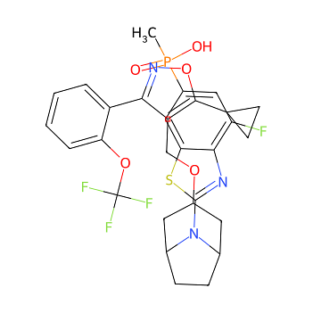 CP(=O)(O)c1cc(F)c2nc(N3C4CCC3CC(OCc3c(-c5ccccc5OC(F)(F)F)noc3C3CC3)C4)sc2c1